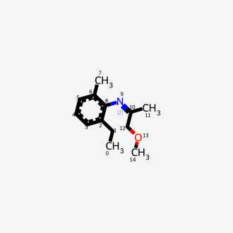 CCc1cccc(C)c1/N=C(/C)COC